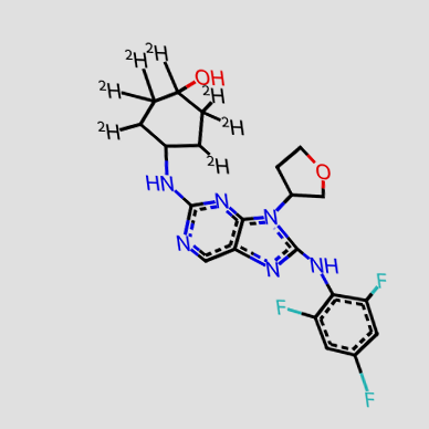 [2H]C1C(Nc2ncc3nc(Nc4c(F)cc(F)cc4F)n(C4CCOC4)c3n2)C([2H])C([2H])([2H])C([2H])(O)C1([2H])[2H]